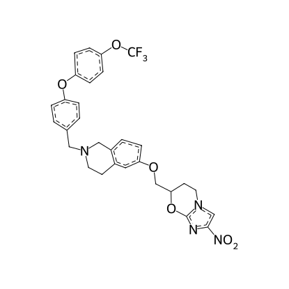 O=[N+]([O-])c1cn2c(n1)OC(COc1ccc3c(c1)CCN(Cc1ccc(Oc4ccc(OC(F)(F)F)cc4)cc1)C3)CC2